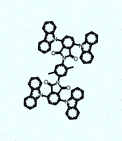 Cc1cc(N2C(=O)c3c(-n4c5ccccc5c5ccccc54)ccc(-n4c5ccccc5c5ccccc54)c3C2=O)c(C)cc1N1C(=O)c2c(-n3c4ccccc4c4ccccc43)ccc(-n3c4ccccc4c4ccccc43)c2C1=O